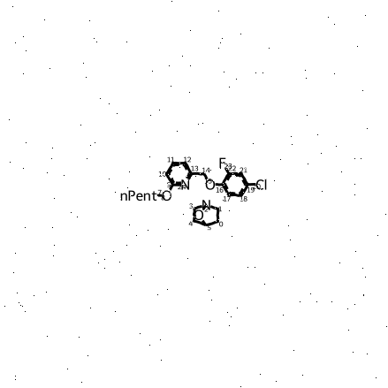 C1CN2CCC1O2.CCCCCOc1cccc(COc2ccc(Cl)cc2F)n1